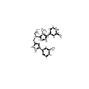 CCN(Cc1cc(-c2cccc(Cl)c2)on1)c1nnc(-c2cc[nH]c(=O)c2)n1C